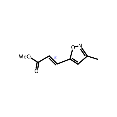 COC(=O)/C=C/c1cc(C)no1